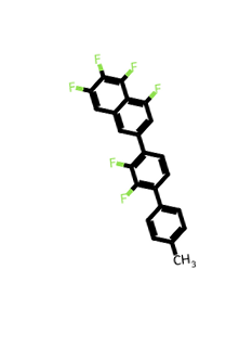 Cc1ccc(-c2ccc(-c3cc(F)c4c(F)c(F)c(F)cc4c3)c(F)c2F)cc1